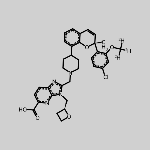 [2H]C([2H])([2H])Oc1cc(Cl)ccc1[C@@]1(C)C=Cc2cccc(C3CCN(Cc4nc5ccc(C(=O)O)nc5n4C[C@@H]4CCO4)CC3)c2O1